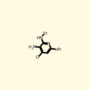 CCCc1cc(Cl)c(N)c(NCC)n1